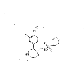 Cl.O=S(=O)(NCC1OCCNCC1c1ccc(Cl)c(Cl)c1)c1ccccc1